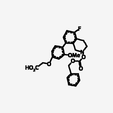 COc1cc(OCC(=O)O)ccc1-c1ccc(F)c2c1CN(OC(=O)OCc1ccccc1)CC2